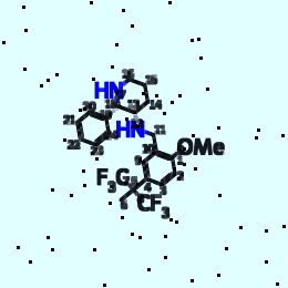 COc1ccc(C(C)(C(F)(F)F)C(F)(F)F)cc1CN[C@H]1CCCN[C@H]1c1ccccc1